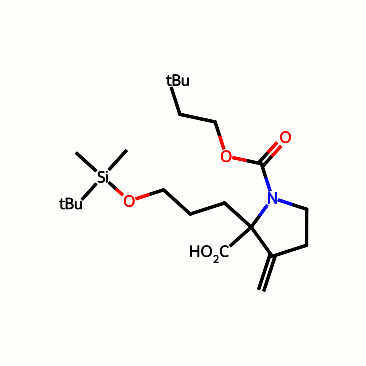 C=C1CCN(C(=O)OCCC(C)(C)C)C1(CCCO[Si](C)(C)C(C)(C)C)C(=O)O